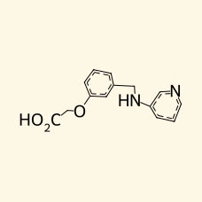 O=C(O)COc1cccc(CNc2cccnc2)c1